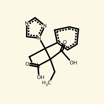 CCC(C(=O)O)(C(=O)O)C(CC)(c1ccccc1)n1cncn1